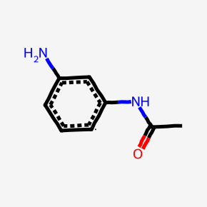 CC(=O)Nc1[c]ccc(N)c1